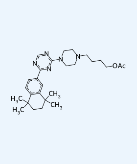 CC(=O)OCCCCN1CCN(c2ncnc(-c3ccc4c(c3)C(C)(C)CCC4(C)C)n2)CC1